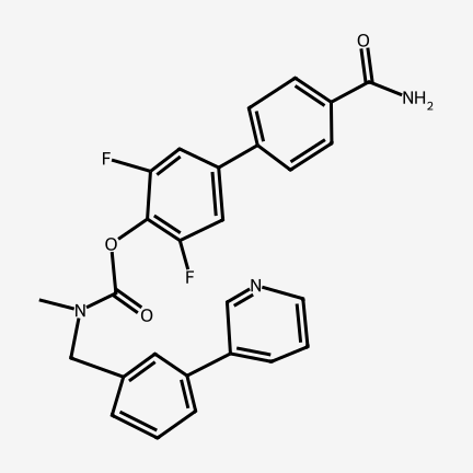 CN(Cc1cccc(-c2cccnc2)c1)C(=O)Oc1c(F)cc(-c2ccc(C(N)=O)cc2)cc1F